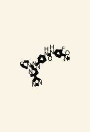 CN(C)C(=O)c1ccc(NC(=O)Nc2ccc(-c3nc(N4CCOCC4)c4ncc(-c5cncnc5)cc4n3)cc2)cc1F